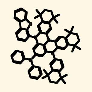 CC1(C)CCC(C)(C)c2cc(N3c4cc5c(cc4B4c6cc7c(cc6N(c6cccc8c6oc6ccccc68)c6cc(N(c8ccccc8)c8ccccc8)cc3c64)C(C)(C)CCC7(C)C)C(C)(C)CCC5(C)C)ccc21